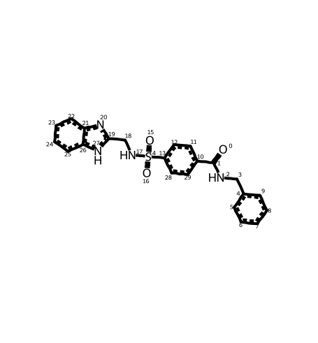 O=C(NCc1ccccc1)c1ccc(S(=O)(=O)NCc2nc3ccccc3[nH]2)cc1